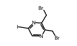 BrCc1ncc(I)nc1CBr